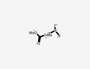 COC(=O)OC.FB(F)F